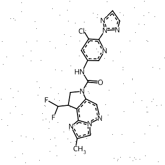 Cc1cn2ncc3c(c2n1)C(C(F)F)CN3C(=O)Nc1cnc(-n2nccn2)c(Cl)c1